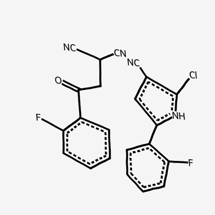 N#CC(C#N)CC(=O)c1ccccc1F.N#Cc1cc(-c2ccccc2F)[nH]c1Cl